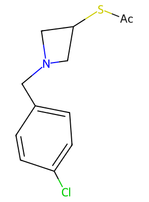 CC(=O)SC1CN(Cc2ccc(Cl)cc2)C1